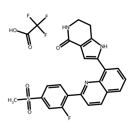 CS(=O)(=O)c1ccc(-c2ccc3cccc(-c4cc5c([nH]4)CCNC5=O)c3n2)c(F)c1.O=C(O)C(F)(F)F